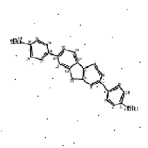 CC(C)(C)c1ccc(-c2ccc3c(c2)Cc2cc(-c4ccc(C(C)(C)C)cc4)ccc2-3)cc1